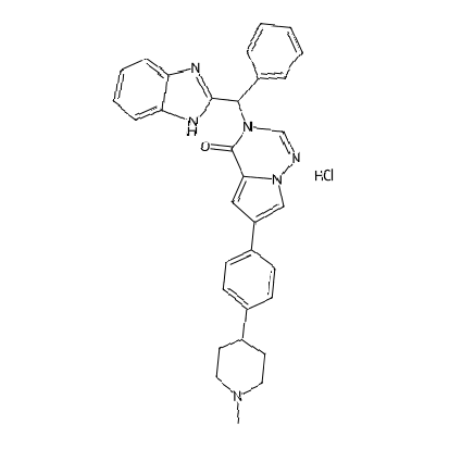 CN1CCC(c2ccc(-c3cc4c(=O)n(C(c5ccccc5)c5nc6ccccc6[nH]5)cnn4c3)cc2)CC1.Cl